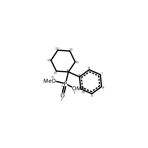 COP(=O)(OC)C1(c2ccccc2)CCCCC1